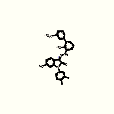 Cc1ccc(N2C(=O)/C(=N\Nc3cccc(-c4cccc(C(=O)O)c4)c3O)c3ccc(C#N)cc32)cc1C